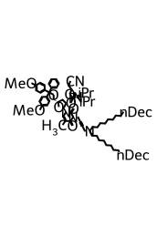 CCCCCCCCCCCCCCCCCCN(CC#CCn1c(=O)c(C)cn([C@@H]2O[C@H](COC(c3ccccc3)(c3ccc(OC)cc3)c3ccc(OC)cc3)CC2OP(OCCC#N)N(C(C)C)C(C)C)c1=O)CCCCCCCCCCCCCCCCCC